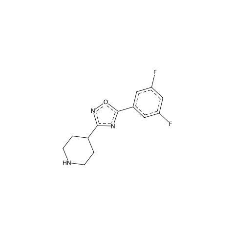 Fc1cc(F)cc(-c2nc(C3CCNCC3)no2)c1